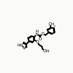 Cc1cccc(COC(=O)Nc2ccc(-c3cn[nH]c3)cc2OCCCO)c1